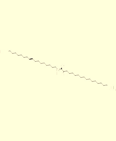 CCCCCCCCC=CCCCCCCCCNC(=O)C(O)CCCCCCCCCCCCCCCC